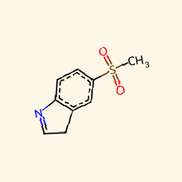 CS(=O)(=O)c1ccc2c(c1)CC=N2